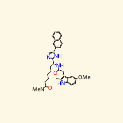 CNC(=O)CCCCCC(NC(=O)Cc1c(C)[nH]c2ccc(OC)cc12)c1ncc(-c2ccc3ccccc3c2)[nH]1